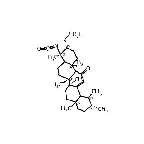 C[C@@H]1CC[C@]2(C)CC[C@]3(C)C(=CC(=O)C4[C@@]5(C)CC[C@@H](CC(=O)O)[C@](C)(N=C=O)C5CC[C@]43C)C2[C@H]1C